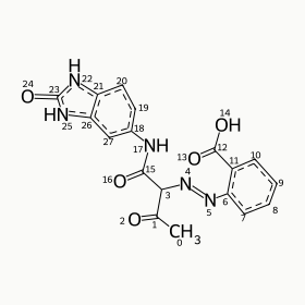 CC(=O)C(N=Nc1ccccc1C(=O)O)C(=O)Nc1ccc2[nH]c(=O)[nH]c2c1